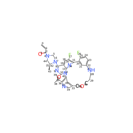 C=CC(=O)N1CCN(c2nc(=O)n3c4nc(c(F)cc24)-c2cc(ccc2F)NCCCOCc2cnc(C(C)C)c-3c2)[C@@H](C)C1